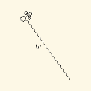 CCCCCCCCCCCCCCCCCCCCCCCCCCCCCCc1ccccc1S(=O)(=O)[O-].[Li+]